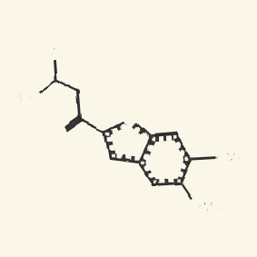 COc1cc2cc(C(=O)CC(C)C(C)=O)sc2cc1OC